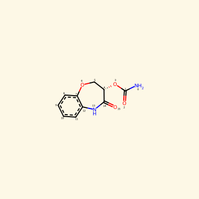 NC(=O)O[C@H]1COc2ccccc2NC1=O